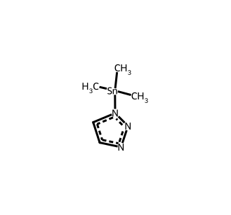 [CH3][Sn]([CH3])([CH3])[n]1ccnn1